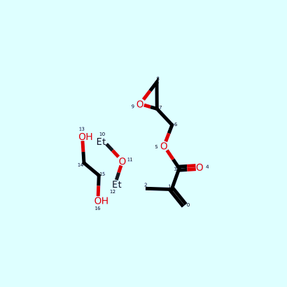 C=C(C)C(=O)OCC1CO1.CCOCC.OCCO